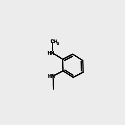 CNc1ccccc1NI